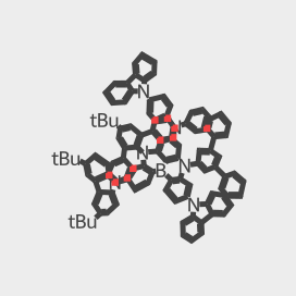 CC(C)(C)c1cc(-c2ccccc2)c(N2c3cc(-n4c5ccc(C(C)(C)C)cc5c5cc(C(C)(C)C)ccc54)ccc3B3c4ccc(-n5c6ccccc6c6ccccc65)cc4N(c4cc(-c5ccccc5)cc(-c5ccccc5)c4)c4cc(N(c5ccccc5)c5ccc(-n6c7ccccc7c7ccccc76)cc5)cc2c43)c(-c2ccccc2)c1